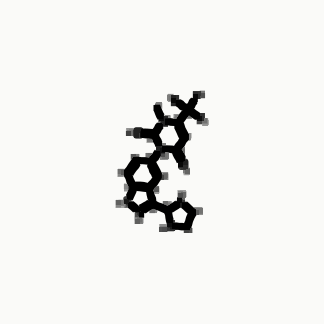 Cn1c(C(F)(F)F)cc(=O)n(-c2ccc3snc(C4SCCS4)c3c2)c1=O